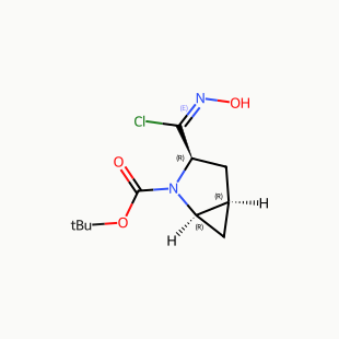 CC(C)(C)OC(=O)N1[C@@H](/C(Cl)=N\O)C[C@H]2C[C@H]21